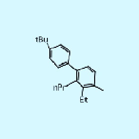 CCCc1c(-c2ccc(C(C)(C)C)cc2)ccc(C)c1CC